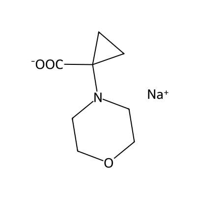 O=C([O-])C1(N2CCOCC2)CC1.[Na+]